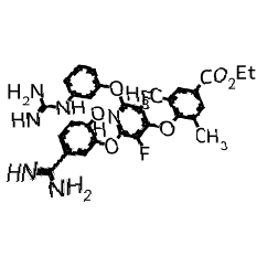 CCOC(=O)c1cc(C)c(Oc2c(F)c(Oc3cccc(NC(=N)N)c3)nc(Oc3cc(C(=N)N)ccc3O)c2F)c(C)c1